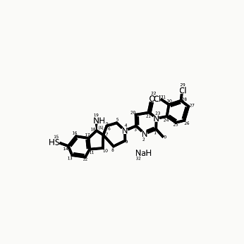 Cc1nc(N2CCC3(CC2)Cc2ccc(S)cc2[C@H]3N)cc(=O)n1-c1cccc(Cl)c1Cl.[NaH]